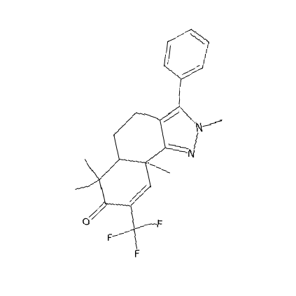 Cn1nc2c(c1-c1ccccc1)CCC1C(C)(C)C(=O)C(C(F)(F)F)=CC21C